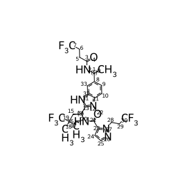 C[C@H](NC(=O)CCC(F)(F)F)c1ccc2nc([C@H](CC(C)(C)C(F)(F)F)NC(=O)c3ccnn3CCC(F)(F)F)[nH]c2c1